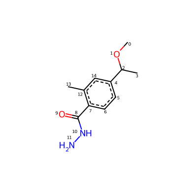 COC(C)c1ccc(C(=O)NN)c(C)c1